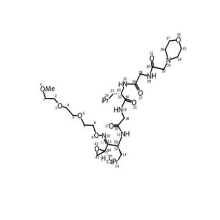 COCCOCCOCCO/N=C(/[C@H](CC(C)C)NC(=O)CNC(=O)[C@H](CC(C)C)NC(=O)CNC(=O)CN1CCOCC1)[C@@]1(C)CO1